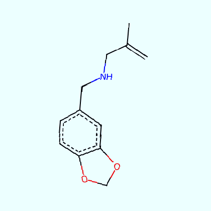 C=C(C)CNCc1ccc2c(c1)OCO2